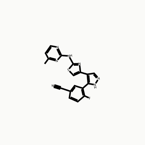 Cc1ccnc(Nc2nc(-c3cn[nH]c3-c3cc(C#N)ccc3F)cs2)n1